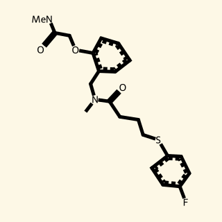 CNC(=O)COc1ccccc1CN(C)C(=O)CCCSc1ccc(F)cc1